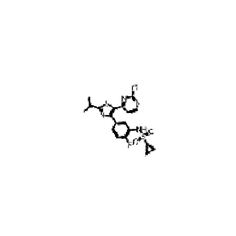 CC(C)c1nc(-c2ccc(F)c(NS(=O)(=O)C3CC3)c2)c(-c2ccnc(Cl)n2)s1